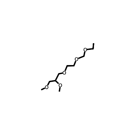 CCOCOCCOCC(COC)OC